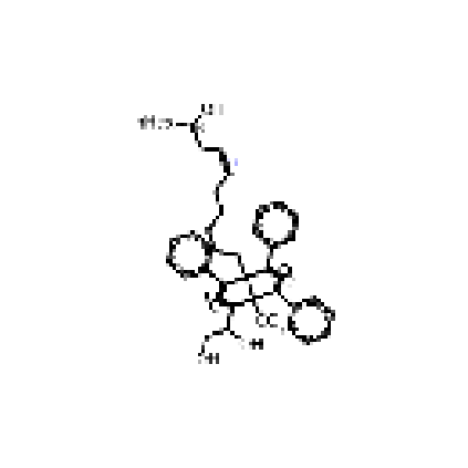 CCCCCC[C@@H](O)C/C=C\CCCCCC(C(=O)c1ccccc1)(C(=O)c1ccccc1)C(C(=O)O)(C(=O)c1ccccc1)C(=O)C(O)CO